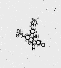 CN1CCN(Cc2ccc(NC(=C3C(=O)Nc4cc(Cl)ccc43)c3ccc(CCC(=O)O)cc3)cc2)CC1